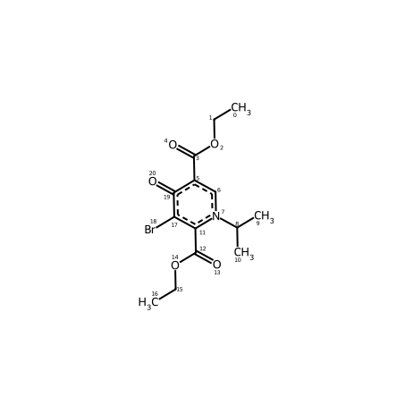 CCOC(=O)c1cn(C(C)C)c(C(=O)OCC)c(Br)c1=O